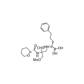 COCC(C=O)(CN[C@@H](CCCc1ccccc1)B(O)O)NC(=O)[C@H]1CCCCO1